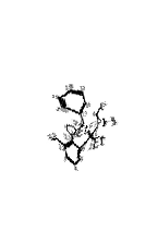 CCC(CC)(PCI)c1cccc(C)c1OCc1ccccc1